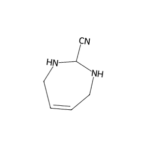 N#CC1NCC=CCN1